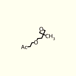 CC(=O)CCOCCC1(C)COC1